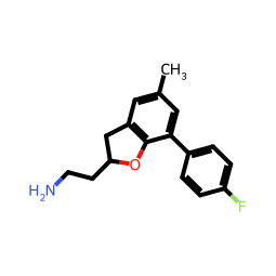 Cc1cc2c(c(-c3ccc(F)cc3)c1)OC(CCN)C2